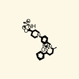 C[C@H]1CCC(c2ccccc2)S(=O)(=O)N1Cc1ccc(N2CCC(C(=O)NS(C)(=O)=O)CC2)cc1F